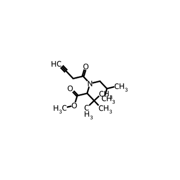 C#CCC(=O)N(CC(C)C)C(C(=O)OC)C(C)(C)C